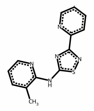 Cc1cccnc1Nc1nc(-c2cc[c]cn2)ns1